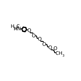 CCC(=O)COCCOCCOCCOCCOc1ccc(NC)cc1